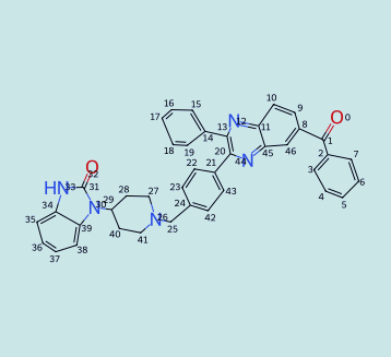 O=C(c1ccccc1)c1ccc2nc(-c3ccccc3)c(-c3ccc(CN4CCC(n5c(=O)[nH]c6ccccc65)CC4)cc3)nc2c1